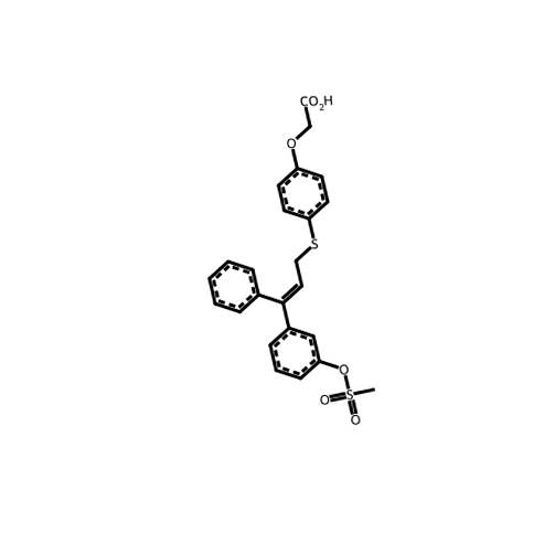 CS(=O)(=O)Oc1cccc(C(=CCSc2ccc(OCC(=O)O)cc2)c2ccccc2)c1